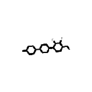 CCC1CCC(C2CCC(C3CCC(C)CC3)CC2)C(F)C1F